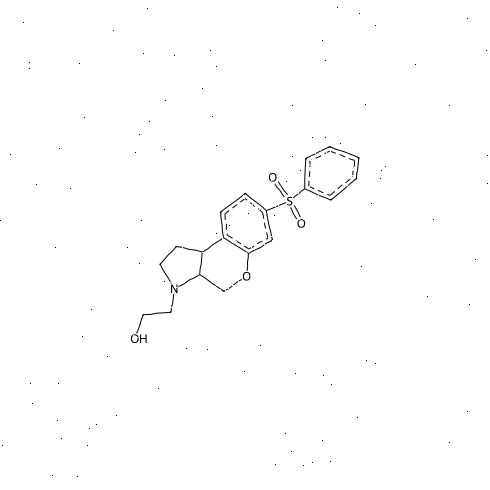 O=S(=O)(c1ccccc1)c1ccc2c(c1)OCC1C2CCN1CCO